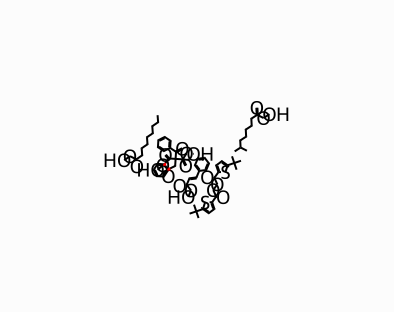 CC(C)(C)c1ccc(C(=O)OOC(=O)c2ccc(C(C)(C)C)s2)s1.CC(C)CCCCCC(=O)OO.CCCCCCCCC(=O)OO.O=C(C=Cc1ccccc1)OO.O=C(CC(C(=O)OO)(C(=O)c1ccccc1)C(=O)c1ccccc1)OO